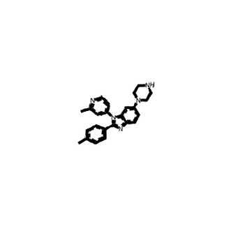 Cc1ccc(-c2nc3ccc(N4CCNCC4)cc3n2-c2ccnc(C)c2)cc1